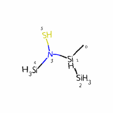 C[SiH]([SiH3])N([SiH3])S